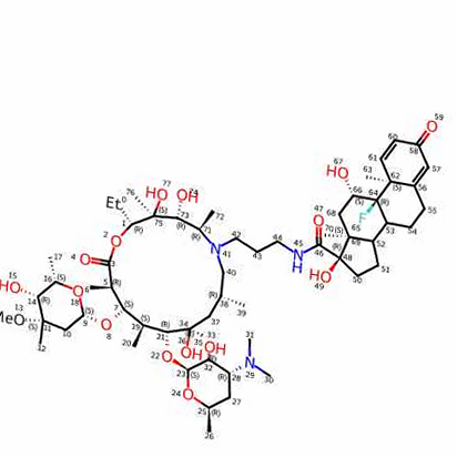 CC[C@H]1OC(=O)[C@H](C)[C@@H](O[C@@H]2C[C@](C)(OC)[C@H](O)[C@H](C)O2)[C@H](C)[C@@H](O[C@@H]2O[C@H](C)C[C@@H](N(C)C)[C@H]2O)[C@](C)(O)C[C@@H](C)CN(CCCNC(=O)[C@@]2(O)CCC3C4CCC5=CC(=O)C=C[C@]5(C)[C@@]4(F)[C@@H](O)C[C@@]32C)[C@H](C)[C@@H](O)[C@]1(C)O